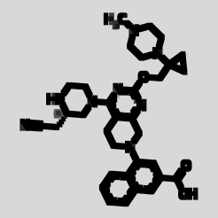 CN1CCN(C2(COc3nc4c(c(N5CCN[C@@H](CC#N)C5)n3)CCN(c3cc(C(=O)O)cc5ccccc35)C4)CC2)CC1